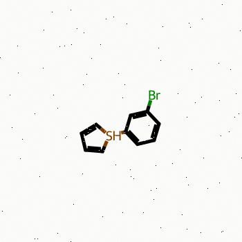 Brc1cccc([SH]2C=CC=C2)c1